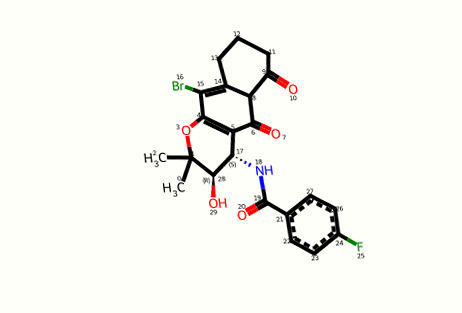 CC1(C)OC2=C(C(=O)C3C(=O)CCCC3=C2Br)[C@H](NC(=O)c2ccc(F)cc2)[C@H]1O